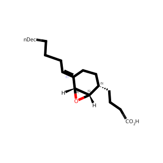 CCCCCCCCCCCCC/C=C1\CC[C@H](CCCC(=O)O)[C@@H]2O[C@H]12